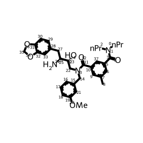 CCCN(CCC)C(=O)c1cc(C)cc(C(=O)N(Cc2cccc(OC)c2)C[C@@H](O)[C@@H](N)Cc2ccc3c(c2)OCO3)c1